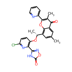 Cc1cc([C@@H](C)Oc2ccc(Cl)nc2-c2noc(=O)[nH]2)c2oc(-c3ccccn3)c(C)c(=O)c2c1